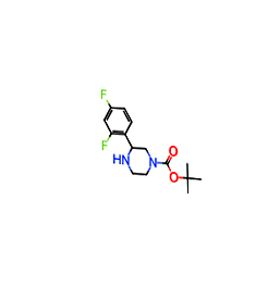 CC(C)(C)OC(=O)N1CCNC(c2ccc(F)cc2F)C1